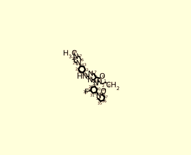 C=CCn1c(=O)c2cnc(Nc3ccc(N4CCN(C)CC4)cc3)nc2n1-c1cc(F)cc(-n2ccccc2=O)c1